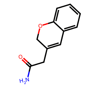 NC(=O)CC1=Cc2ccccc2OC1